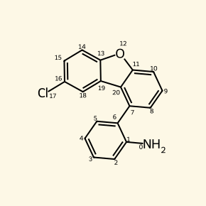 Nc1ccccc1-c1cccc2oc3ccc(Cl)cc3c12